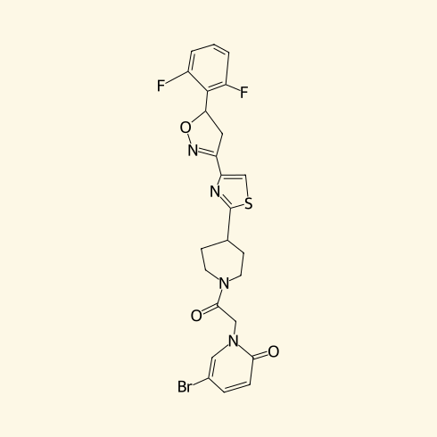 O=C(Cn1cc(Br)ccc1=O)N1CCC(c2nc(C3=NOC(c4c(F)cccc4F)C3)cs2)CC1